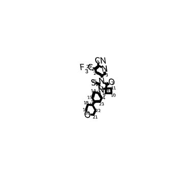 N#Cc1ncc(N2C(=O)C3(CCC3)N(c3ccc(C4CCOCC4)cc3)C2=S)cc1C(F)(F)F